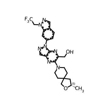 C[C@H]1CC2(CCN(c3nc4cnn(-c5ccc6cnn(CC(F)(F)F)c6c5)c4nc3CO)CC2)CO1